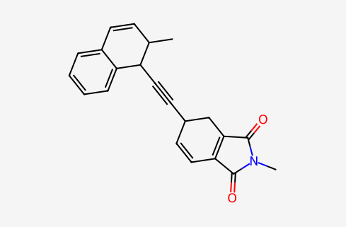 CC1C=Cc2ccccc2C1C#CC1C=CC2=C(C1)C(=O)N(C)C2=O